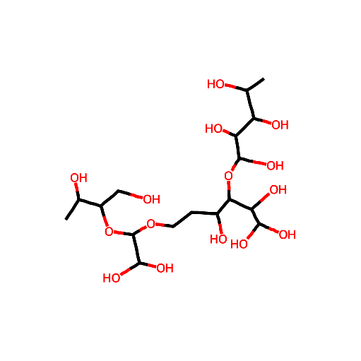 CC(O)C(CO)OC(OCCC(O)C(OC(O)C(O)C(O)C(C)O)C(O)C(O)O)C(O)O